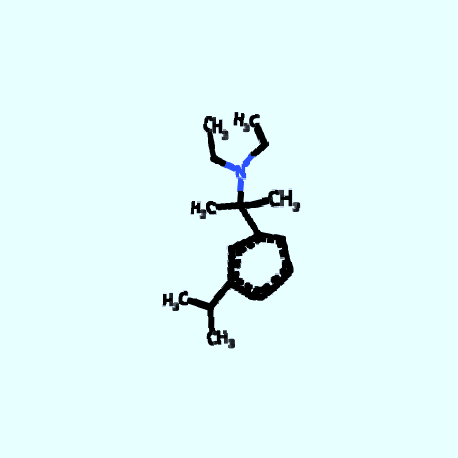 CCN(CC)C(C)(C)c1cccc(C(C)C)c1